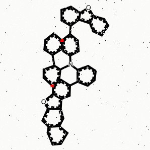 c1ccc(-c2ccccc2N(c2ccc(-c3cccc4oc5ccccc5c34)cc2)c2ccccc2-c2ccc3oc4cc5ccccc5cc4c3c2)cc1